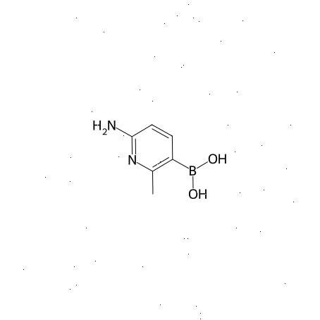 Cc1nc(N)ccc1B(O)O